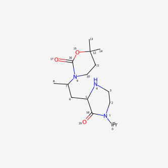 CC(C)N1CCNC(CC(C)N2CCC(C)(C)OC2=O)C1=O